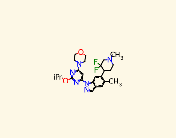 Cc1cc2cnn(-c3cc(N4CCOCC4)nc(OC(C)C)n3)c2cc1C1CCN(C)CC1(F)F